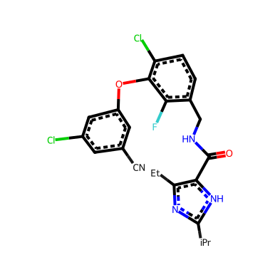 CCc1nc(C(C)C)[nH]c1C(=O)NCc1ccc(Cl)c(Oc2cc(Cl)cc(C#N)c2)c1F